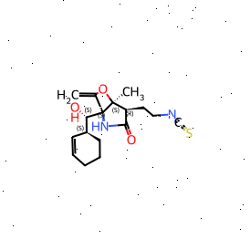 C=C1O[C@@]2(C)[C@@H](CCN=C=S)C(=O)N[C@@]12[C@@H](O)[C@@H]1C=CCCC1